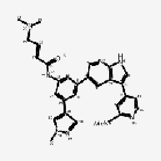 CNc1cc(-c2c[nH]c3ncc(-c4cc(NC(=O)C=CCN(C)C)cc(-c5cnn(C)c5)c4)cc23)ccn1